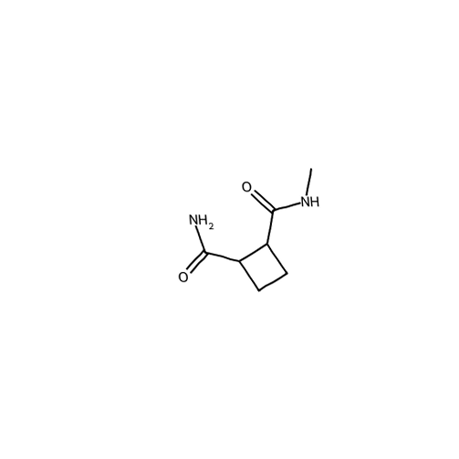 CNC(=O)C1CCC1C(N)=O